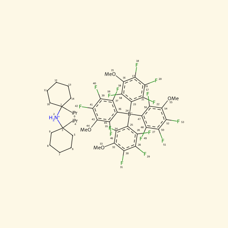 CC(C)C1([NH2+]C2(C(C)C)CCCCC2)CCCCC1.COc1c(F)c(F)c(F)c([B-](c2c(F)c(F)c(F)c(OC)c2F)(c2c(F)c(F)c(F)c(OC)c2F)c2c(F)c(F)c(F)c(OC)c2F)c1F